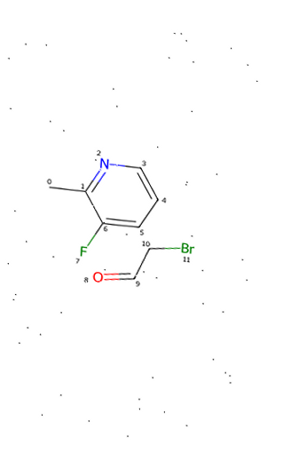 Cc1ncccc1F.O=CCBr